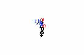 COc1ccc(N2CCc3cc(-c4ccc(C(C)(C)C)cc4)ccc3C2=O)nc1N